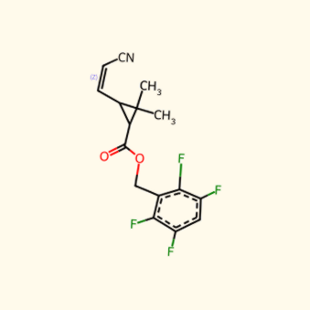 CC1(C)C(/C=C\C#N)C1C(=O)OCc1c(F)c(F)cc(F)c1F